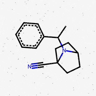 CC(c1ccccc1)N1C2CCC1(C#N)CC2